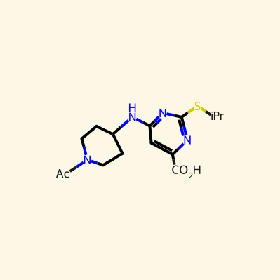 CC(=O)N1CCC(Nc2cc(C(=O)O)nc(SC(C)C)n2)CC1